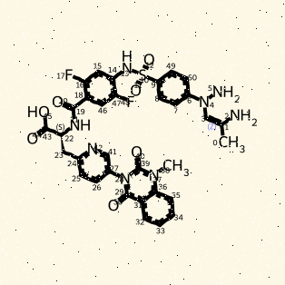 C/C(N)=C/N(N)c1ccc(S(=O)(=O)Nc2cc(F)c(C(=O)N[C@@H](Cc3ccc(-n4c(=O)c5ccccc5n(C)c4=O)cn3)C(=O)O)cc2F)cc1